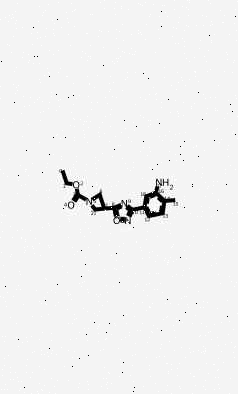 CCOC(=O)N1CC(c2nc(-c3ccc(C)c(N)c3)no2)C1